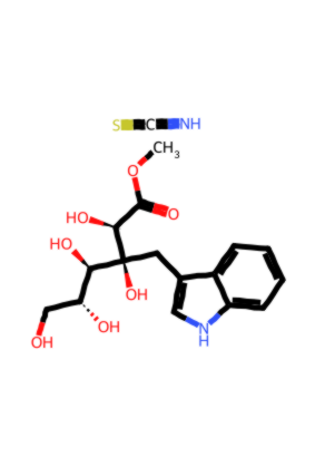 COC(=O)[C@H](O)[C@](O)(Cc1c[nH]c2ccccc12)[C@H](O)[C@H](O)CO.N=C=S